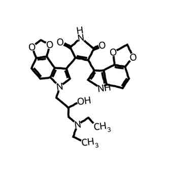 CCN(CC)CC(O)Cn1cc(C2=C(c3c[nH]c4ccc5c(c34)OCO5)C(=O)NC2=O)c2c3c(ccc21)OCO3